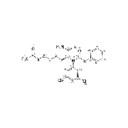 NC(=O)[C@H](CCCSCC(=O)C(F)(F)F)N(C(=O)Cc1ccccc1)c1cc(Cl)cc(Cl)c1